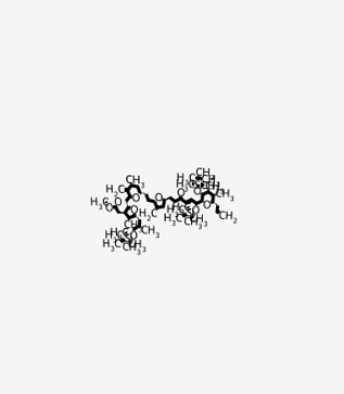 C=CC[C@@H]1O[C@@H]([C@H](/C=C/C(=O)CC[C@H]2CC(=C)C(CC[C@H]3C[C@@H](C)C(=C)C(C[C@@H]4O[C@H](C[C@H](C)CO[Si](C)(C)C(C)(C)C)[C@H](C)[C@H]4CC(=O)OC)O3)O2)O[Si](C)(C)C(C)(C)C)[C@@H](O[Si](C)(C)C(C)(C)C)[C@@H](C)[C@H]1C